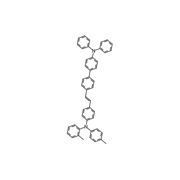 Cc1ccc(N(c2ccc(/C=C/c3ccc(-c4ccc(N(c5ccccc5)c5ccccc5)cc4)cc3)cc2)c2ccccc2C)cc1